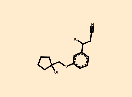 N#CCC(O)c1cccc(SCC2(O)CCCC2)c1